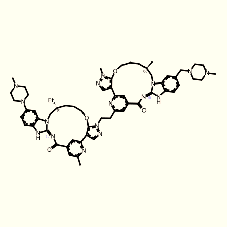 CC[C@@H]1CCCOc2c(cnn2CCc2cc3cc(n2)-c2cnn(C)c2OCCC[C@@H](C)CN2/C(=N/C3=O)Nc3ccc(CN4CCN(C)CC4)cc32)-c2cc(cc(C)n2)C(=O)/N=C2\Nc3ccc(N4CCN(C)CC4)cc3N2C1